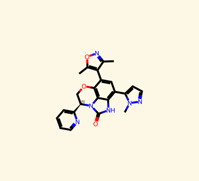 Cc1noc(C)c1-c1cc(-c2ccnn2C)c2[nH]c(=O)n3c2c1OC[C@@H]3c1ccccn1